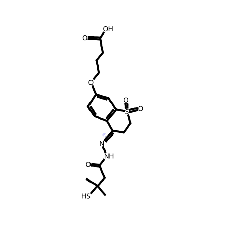 CC(C)(S)CC(=O)N/N=C1\CCS(=O)(=O)c2cc(OCCCC(=O)O)ccc21